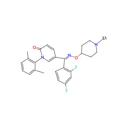 CCN1CCC(ON=C(c2ccc(=O)n(-c3c(C)cccc3C)c2)c2ccc(F)cc2F)CC1